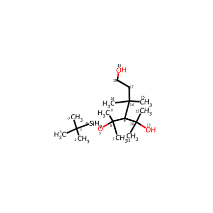 CC(C)(C)[SiH2]OC(C)(C)C(C(C)(C)O)C(C)(C)CCO